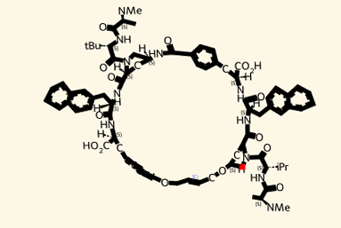 CN[C@@H](C)C(=O)N[C@H](C(=O)N1C[C@@H]2CC1C(=O)N[C@@H](Cc1ccc3ccccc3c1)C(=O)N[C@H](C(=O)O)Cc1ccc(cc1)C(=O)N[C@H]1C[C@@H](C(=O)N[C@@H](Cc3ccc4ccccc4c3)C(=O)N[C@H](C(=O)O)Cc3ccc(cc3)OC/C=C/CO2)N(C(=O)[C@@H](NC(=O)[C@H](C)NC)C(C)(C)C)C1)C(C)C